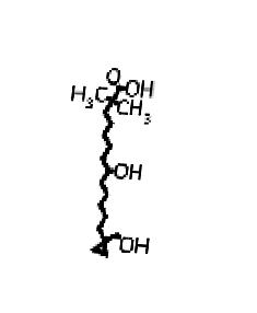 CC(C)(CCCCCC(O)CCCCCC1(CO)CC1)C(=O)O